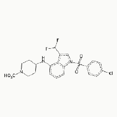 O=C(O)N1CCC(Nc2cccc3c2c(C(F)F)cn3S(=O)(=O)c2ccc(Cl)cc2)CC1